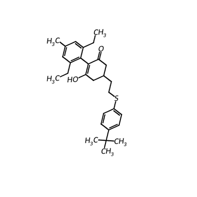 CCc1cc(C)cc(CC)c1C1=C(O)CC(CCSc2ccc(C(C)(C)C)cc2)CC1=O